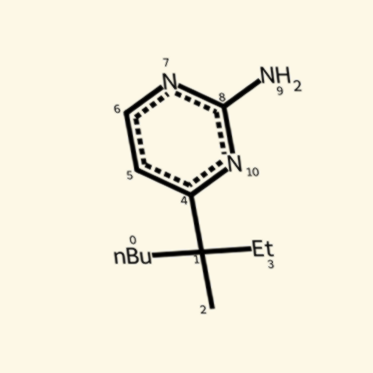 CCCCC(C)(CC)c1ccnc(N)n1